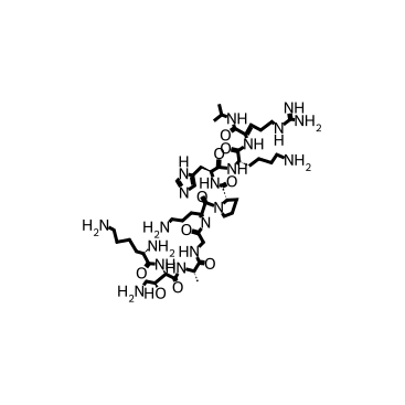 CC(C)NC(=O)/C(=C/CCNC(=N)N)NC(=O)[C@H](CCCCN)NC(=O)[C@H](Cc1cnc[nH]1)NC(=O)[C@@H]1CCCN1C(=O)/C(CCCN)=N/C(=O)CNC(=O)[C@H](C)NC(=O)[C@@H](NC(=O)[C@@H](N)CCCCN)[C@@H](O)CN